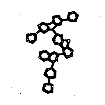 c1ccc(-c2ccc(-c3nc(-c4cccc5oc6cc(C7c8cc(-c9ccccc9)ccc8-c8ccc(-c9ccccc9)cc87)ccc6c45)cc4ccccc34)cc2)cc1